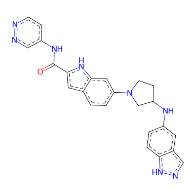 O=C(Nc1ccnnc1)c1cc2ccc(N3CCC(Nc4ccc5[nH]ncc5c4)C3)cc2[nH]1